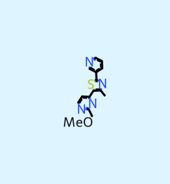 COCc1nccc(-c2sc(-c3cccnc3)nc2C)n1